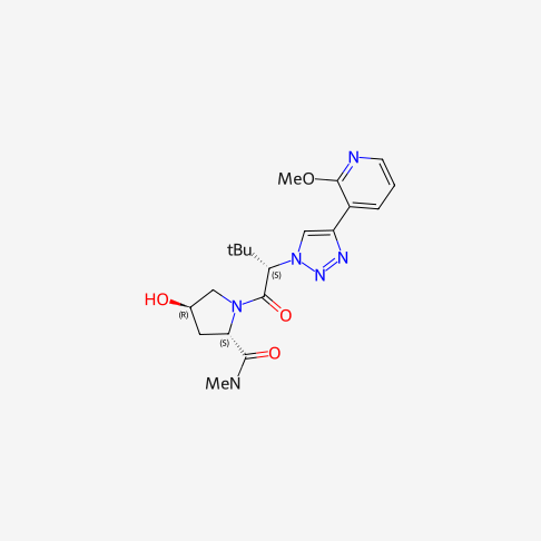 CNC(=O)[C@@H]1C[C@@H](O)CN1C(=O)[C@@H](n1cc(-c2cccnc2OC)nn1)C(C)(C)C